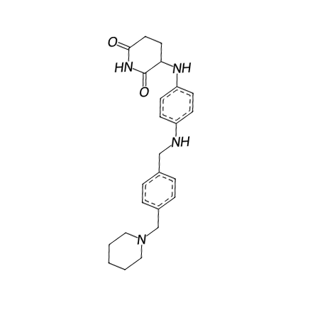 O=C1CCC(Nc2ccc(NCc3ccc(CN4CCCCC4)cc3)cc2)C(=O)N1